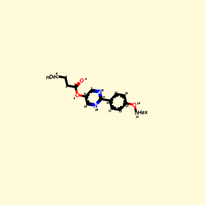 CCCCCCCCCCCCC(=O)Oc1cnc(-c2ccc(OCCCCCC)cc2)nc1